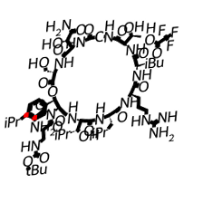 CC[C@H](C)[C@@H]1NC(=O)[C@@H](CCCNC(=N)N)NC(=O)[C@H](CC(C)C)NC(=O)[C@H]([C@H](O)C(C)C)NC(=O)[C@@H](N(C(=O)CCNC(=O)OC(C)(C)C)C(=O)[C@@H](N)CC(C)C)[C@@H](c2ccccc2)OC(=O)[C@H](CO)NC(=O)[C@H]([C@H](O)C(N)=O)NC(=O)CNC(=O)[C@H]([C@H](C)O)NC1=O.O=C(O)C(F)(F)F